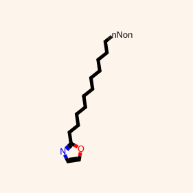 CCCCCCCCCCCCCCCCCCCCc1ncco1